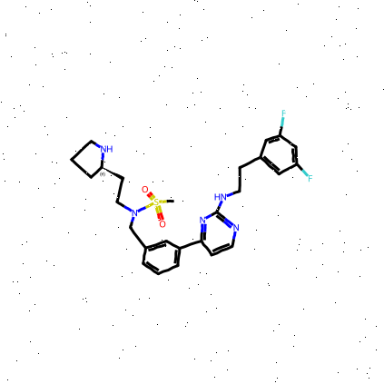 CS(=O)(=O)N(CC[C@H]1CCCN1)Cc1cccc(-c2ccnc(NCCc3cc(F)cc(F)c3)n2)c1